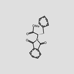 COC(=O)[C@H](Cc1ccccc1)N1C(=O)c2ccccc2C1=O